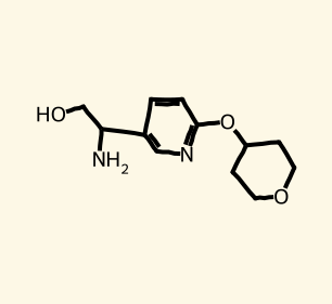 NC(CO)c1ccc(OC2CCOCC2)nc1